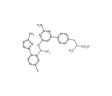 Cc1ccn(-c2ccc(F)cc2C(Oc2cc(-c3ccc(CC(C)C(=O)O)cc3)nc(N)n2)C(F)(F)F)n1